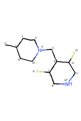 CC1CCN(CC2C(F)CNCC2F)CC1